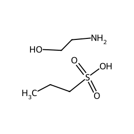 CCCS(=O)(=O)O.NCCO